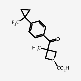 CC1(C(=O)c2ccc(C3(C(F)(F)F)CC3)cc2)CN(C(=O)O)C1